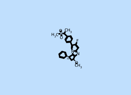 CO[C@H]1C[C@@H](c2ccccc2)c2c1nc1cc(F)c(-c3ccc(C(C)S(C)(=O)=O)cc3)cn21